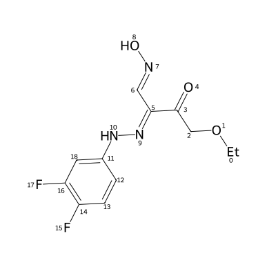 CCOCC(=O)C(/C=N/O)=N/Nc1ccc(F)c(F)c1